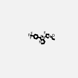 C=CC(=O)N1C[C@@H](F)[C@@H](n2nc(-c3ccc(C(F)(F)F)cc3)c3ncccc32)C1